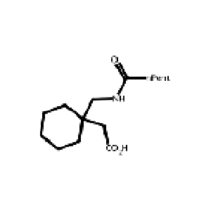 CCCCCC(=O)NCC1(CC(=O)O)CCCCC1